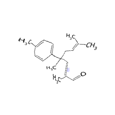 CC(C)=CCC(C)(/C=C(\C)C=O)c1ccc(C)cc1